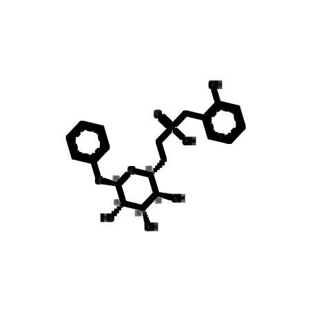 O=P(O)(CC[C@H]1O[C@H](Oc2ccccc2)[C@@H](O)[C@@H](O)[C@@H]1O)Cc1ccccc1O